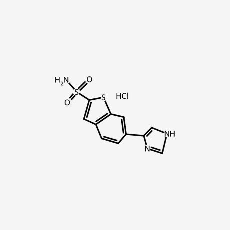 Cl.NS(=O)(=O)c1cc2ccc(-c3c[nH]cn3)cc2s1